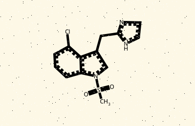 CS(=O)(=O)n1cc(Cc2ncc[nH]2)c2c(Cl)cccc21